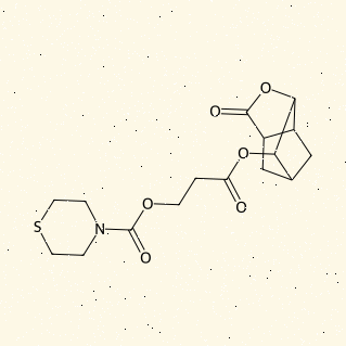 O=C(CCOC(=O)N1CCSCC1)OC1C2CC3C(=O)OC1C3C2